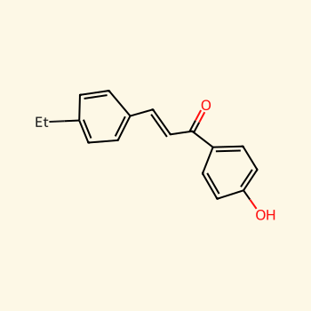 CCc1ccc(/C=C/C(=O)c2ccc(O)cc2)cc1